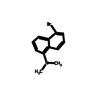 CN(C)c1cccc2c(Br)cccc12